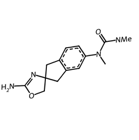 CNC(=O)N(C)c1ccc2c(c1)CC1(COC(N)=N1)C2